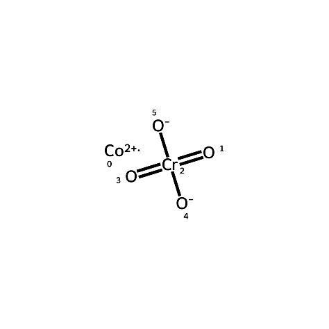 [Co+2].[O]=[Cr](=[O])([O-])[O-]